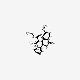 CCOC(=O)/C(=C(\C)O)c1c(-c2ccccn2)oc(=O)c2ccc(OC)cc12